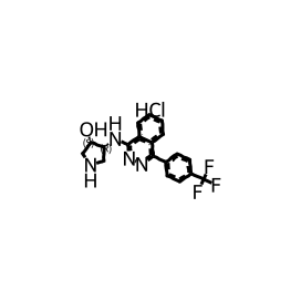 Cl.O[C@H]1CNC[C@H]1Nc1nnc(-c2ccc(C(F)(F)F)cc2)c2ccccc12